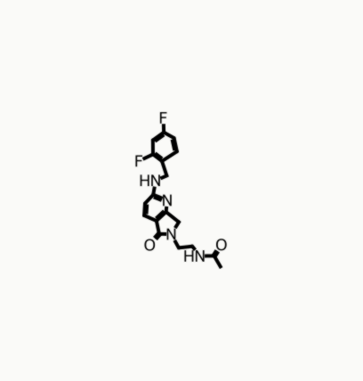 CC(=O)NCCN1Cc2nc(NCc3ccc(F)cc3F)ccc2C1=O